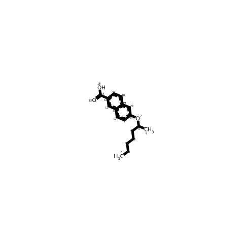 CCCCCC(C)Oc1ccc2cc(C(=O)O)ccc2c1